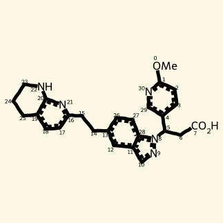 COc1ccc(C(CC(=O)O)n2ncc3cc(CCc4ccc5c(n4)NCCC5)ccc32)cn1